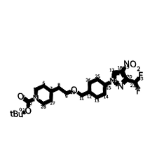 CC(C)(C)OC(=O)N1CCC(CCOCC2CCC(n3cc([N+](=O)[O-])c(C(F)F)n3)CC2)CC1